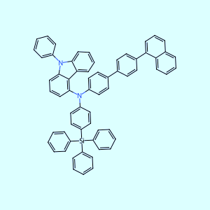 c1ccc(-n2c3ccccc3c3c(N(c4ccc(-c5ccc(-c6cccc7ccccc67)cc5)cc4)c4ccc([Si](c5ccccc5)(c5ccccc5)c5ccccc5)cc4)cccc32)cc1